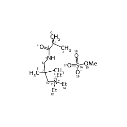 C=C(C)C(=O)NCC(C)(C)C[N+](CC)(CC)CC.COS(=O)(=O)[O-]